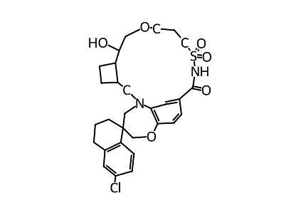 O=C1NS(=O)(=O)CCCOCC(O)C2CCC2CN2CC3(CCCc4cc(Cl)ccc43)COc3ccc1cc32